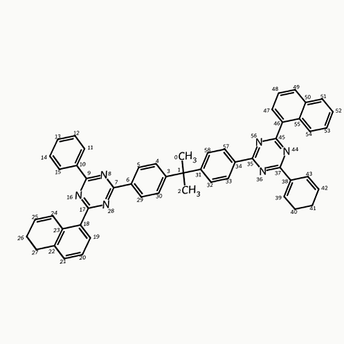 CC(C)(c1ccc(-c2nc(-c3ccccc3)nc(-c3cccc4c3C=CCC4)n2)cc1)c1ccc(-c2nc(C3=CCCC=C3)nc(-c3cccc4ccccc34)n2)cc1